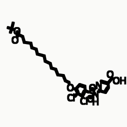 CC(C)(C)OC(=O)CCCCCCCCCCCCCCCOc1ccc(S(=O)(=O)Nc2ccc(C(=O)O)cn2)c(Cl)c1Cl